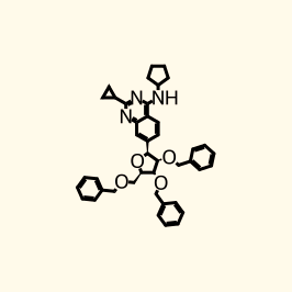 c1ccc(COC[C@H]2O[C@@H](c3ccc4c(NC5CCCC5)nc(C5CC5)nc4c3)[C@H](OCc3ccccc3)[C@@H]2OCc2ccccc2)cc1